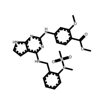 COC(=O)c1ccc(Nc2nc(NCc3ccccc3N(C)S(C)(=O)=O)c3cc[nH]c3n2)cc1OC